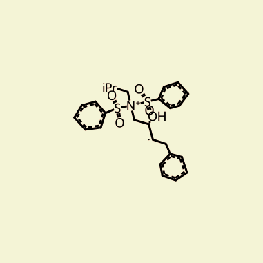 CC(C)C[N+](C[C@H](O)[CH]Cc1ccccc1)(S(=O)(=O)c1ccccc1)S(=O)(=O)c1ccccc1